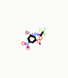 COc1cc([N+](=O)[O-])cc(Br)c1NC(=O)C(F)(F)F